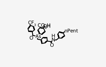 CCCCCc1ccc(CNC(=O)c2ccc(C[As](C(=O)c3ccc(C(F)(F)F)cc3)c3ccc(O)c(C(=O)O)c3)cc2)cc1